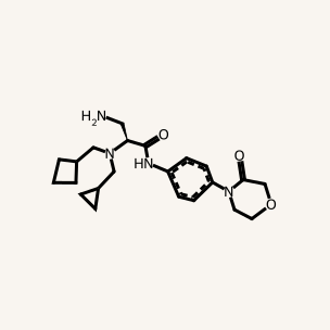 NC[C@@H](C(=O)Nc1ccc(N2CCOCC2=O)cc1)N(CC1CCC1)CC1CC1